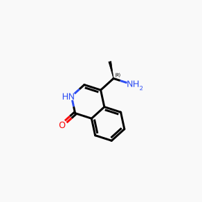 C[C@@H](N)c1c[nH]c(=O)c2ccccc12